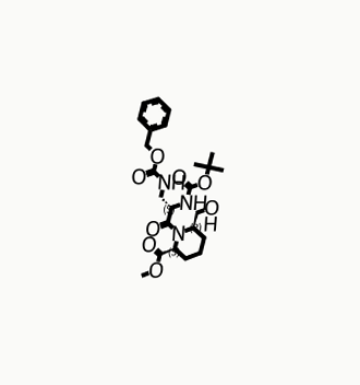 COC(=O)[C@@H]1CCC[C@H](CO)N1C(=O)[C@H](CNC(=O)OCc1ccccc1)NC(=O)OC(C)(C)C